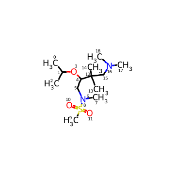 CC(C)OC(CN(C)S(C)(=O)=O)C(C)(C)CN(C)C